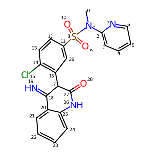 CN(c1ccccn1)S(=O)(=O)c1ccc(Cl)c(C2C(=N)c3ccccc3NC2=O)c1